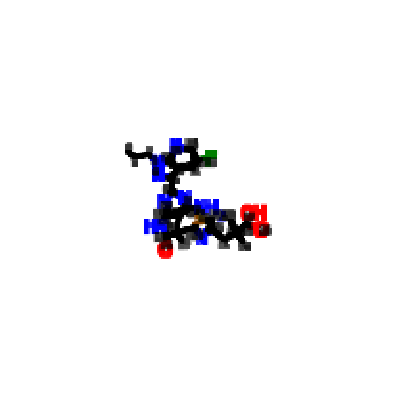 CCCn1nc(-c2nc(N)c3c(n2)NC(=O)C3(C)c2nc(CC(C)(C)C(=O)O)cs2)c2cc(F)cnc21